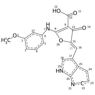 COc1cccc(NC2=C(C(=O)O)C(=O)/C(=C/c3c[nH]c4ncccc34)O2)c1